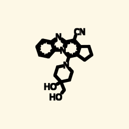 N#Cc1c2c(c(N3CCC(O)(CO)CC3)n3c1nc1ccccc13)CCC2